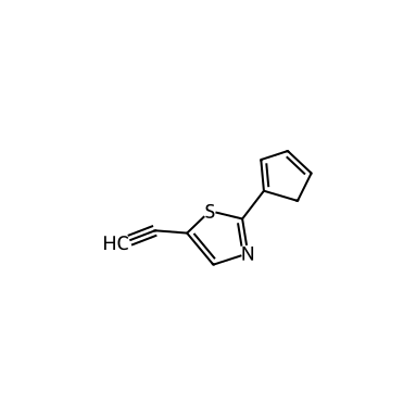 C#Cc1cnc(C2=CC=CC2)s1